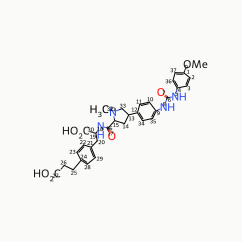 COc1ccc(NC(=O)Nc2ccc(C3CC(C(=O)NC(Cc4ccc(CCC(=O)O)cc4)C(=O)O)N(C)C3)cc2)cc1